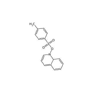 Cc1ccc(S(=O)(=O)ON2C=CC=C3C=CC=CC32)cc1